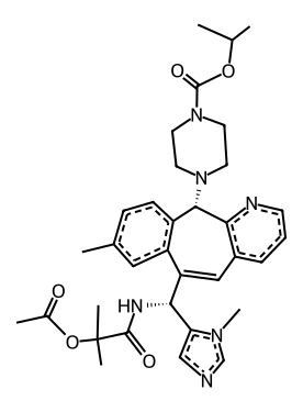 CC(=O)OC(C)(C)C(=O)N[C@H](C1=Cc2cccnc2[C@@H](N2CCN(C(=O)OC(C)C)CC2)c2ccc(C)cc21)c1cncn1C